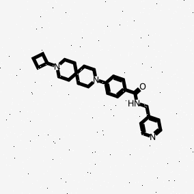 O=C(NCc1ccncc1)c1ccc(N2CCC3(CC2)CCN(C2CCC2)CC3)cc1